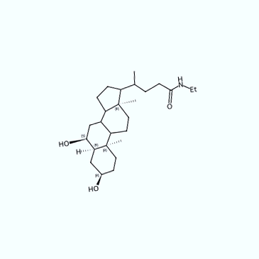 CCNC(=O)CCC(C)C1CCC2C3C[C@H](O)[C@@H]4C[C@H](O)CC[C@]4(C)C3CC[C@]12C